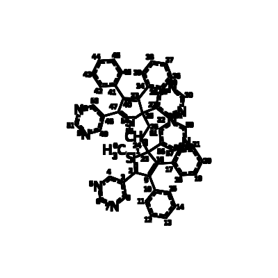 C[Si]1=C(c2cncnc2)C(c2ccccc2)=C(c2ccccc2)C1(CCC1(c2cncnc2)C(c2ccccc2)=C(c2ccccc2)C(c2cncnc2)=[Si]1C)c1cncnc1